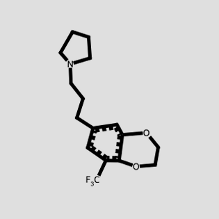 FC(F)(F)c1cc(CCCN2CCCC2)cc2c1OCCO2